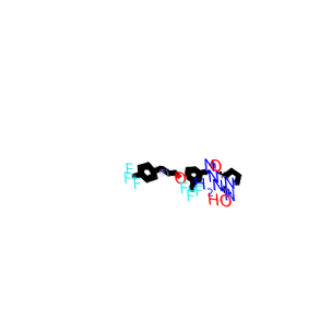 N/C(=N\O)N1CCC[C@H]1c1nc(-c2ccc(OC/C=C/c3ccc(C(F)(F)F)cc3)c(C(F)(F)F)c2)no1